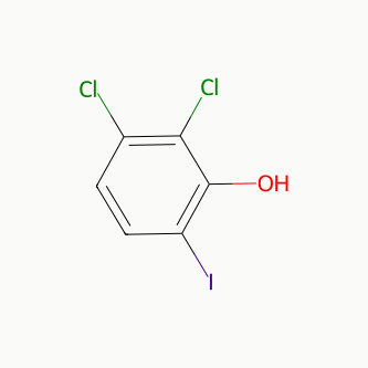 Oc1c(I)ccc(Cl)c1Cl